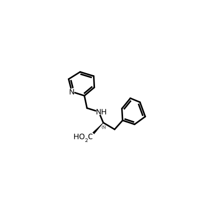 O=C(O)[C@H](Cc1ccccc1)NCc1ccccn1